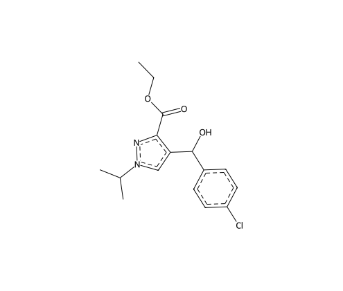 CCOC(=O)c1nn(C(C)C)cc1C(O)c1ccc(Cl)cc1